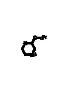 CCCOC1CNCC[N]1